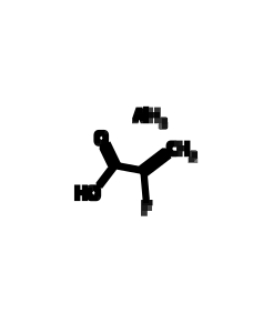 C=C(F)C(=O)O.[AlH3]